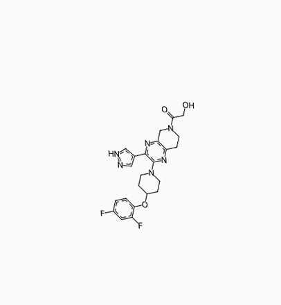 O=C(CO)N1CCc2nc(N3CCC(Oc4ccc(F)cc4F)CC3)c(-c3cn[nH]c3)nc2C1